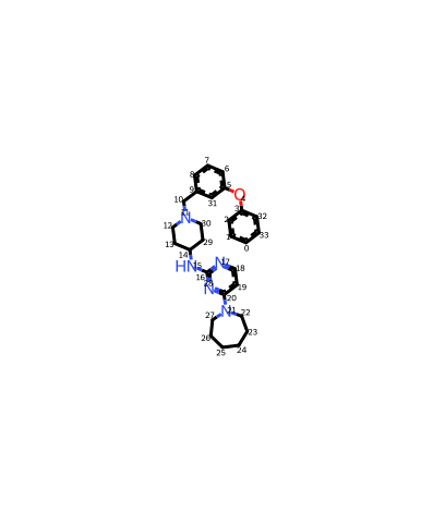 c1ccc(Oc2cccc(CN3CCC(Nc4nccc(N5CCCCCC5)n4)CC3)c2)cc1